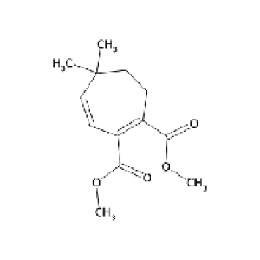 COC(=O)C1=C(C(=O)OC)CCC(C)(C)C=C1